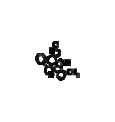 Cc1cccc(C2([C@@H]3CNC[C@]34CCCc3nc(Cl)ccc34)CC(c3ccccc3)CC[N]2)c1